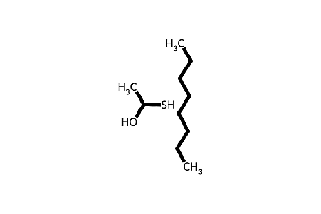 CC(O)S.CCCCCCCC